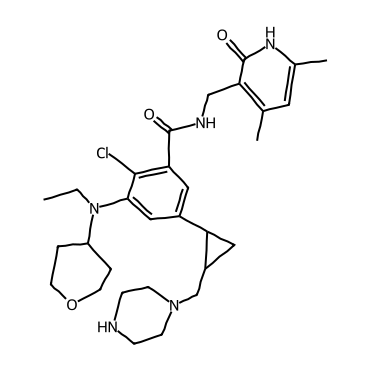 CCN(c1cc(C2CC2CN2CCNCC2)cc(C(=O)NCc2c(C)cc(C)[nH]c2=O)c1Cl)C1CCOCC1